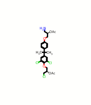 CC(=O)O[C@H](CN)COc1ccc(C(C)(C)c2cc(Cl)c(OC[C@H](CCl)OC(C)=O)c(Cl)c2)cc1